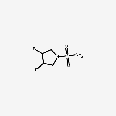 NS(=O)(=O)N1CC(F)C(F)C1